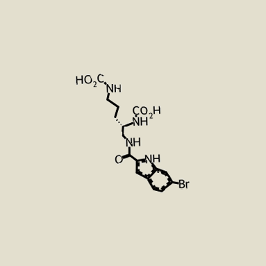 O=C(O)NCCC[C@@H](CNC(=O)c1cc2ccc(Br)cc2[nH]1)NC(=O)O